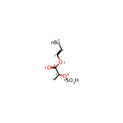 CCCCC=COC(=O)C(C)OS(=O)(=O)O